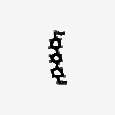 CCCCCCCCC1CCC(c2ccc(-c3ccc(CCCCCCC)cc3)cc2)OC1